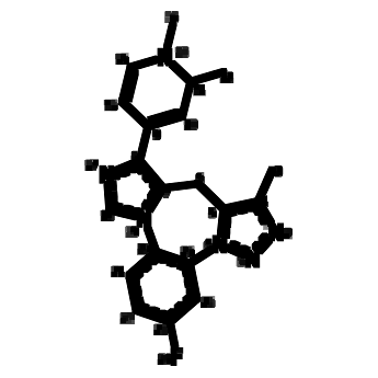 Cc1nnn2c1Cc1c(C3=CC(C)N(C)C=C3)ncn1-c1ccc(F)cc1-2